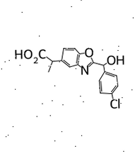 CC(C(=O)O)c1ccc2oc(C(O)c3ccc(Cl)cc3)nc2c1